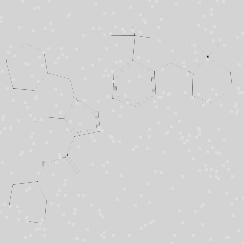 Cc1c(C(=O)NC2CCCOC2)cc(-c2ccc(CN3CCOCC3(C)C)c(C(F)(F)F)c2)n1CC1CCCCC1